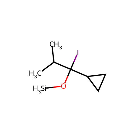 CC(C)C(I)(O[SiH3])C1CC1